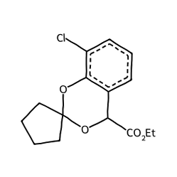 CCOC(=O)C1OC2(CCCC2)Oc2c(Cl)cccc21